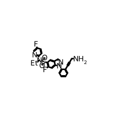 CCN(c1ccc(F)cn1)S(=O)(=O)c1cc2cnn(-c3ccccc3C#CCN)c2cc1F